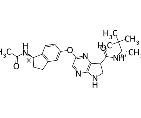 CC(=O)N[C@@H]1CCc2cc(Oc3cnc4c(n3)C(C(=O)N[C@@H](C)C(C)(C)C)CN4)ccc21